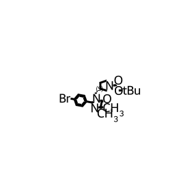 CC(C)(C)OC(=O)N1CC[C@@H](CN2C(=O)C(C)(C)N=C2c2ccc(Br)cc2)C1